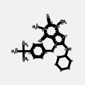 Cn1c(=O)c2c(nc(NC3CCCCC3)n2Cc2ccc(C(C)(C)C)cc2)n(C)c1=O